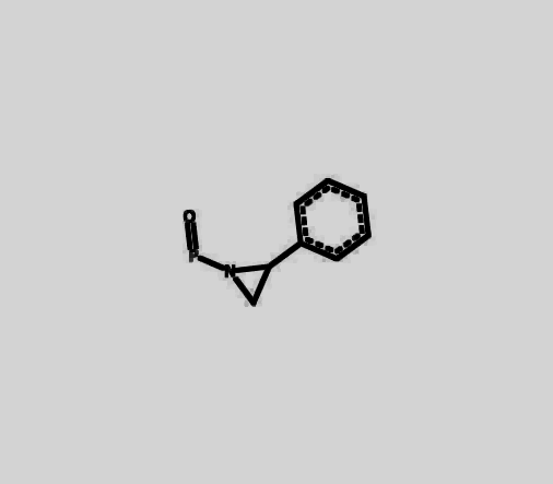 O=PN1CC1c1ccccc1